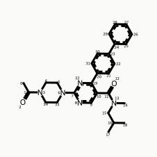 CC(=O)N1CCN(c2ncc(C(=O)N(C)CC(C)C)c(-c3ccc(-c4ccccc4)cc3)n2)CC1